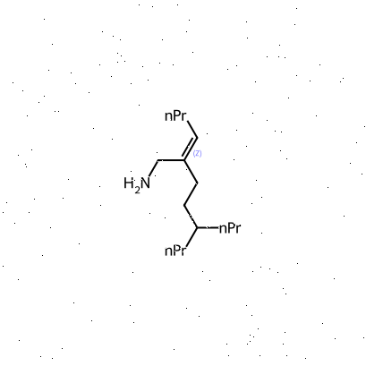 CCC/C=C(\CN)CCC(CCC)CCC